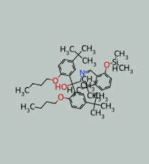 CCCCOc1ccc(C(C)(C)C)cc1C(O)(c1cc(C(C)(C)C)ccc1OCCCC)C(C)N=Cc1c(O[SiH](C)C)cccc1C(C)(C)C